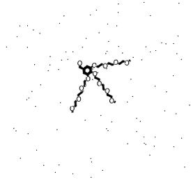 COCCOCCOCCOc1cc(C=O)cc(OCCOCCOCCOC)c1OCCOCCOCCOC